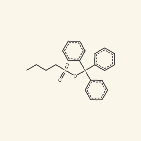 CCCCS(=O)(=O)OS(c1ccccc1)(c1ccccc1)c1ccccc1